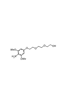 COc1cc(OCCOCCOCCO)cc(OC)c1N